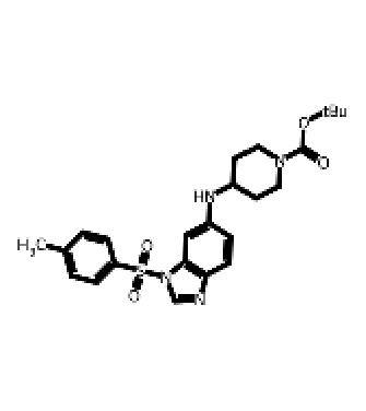 Cc1ccc(S(=O)(=O)n2cnc3ccc(NC4CCN(C(=O)OC(C)(C)C)CC4)cc32)cc1